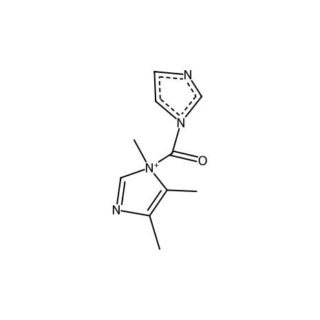 CC1=C(C)[N+](C)(C(=O)n2ccnc2)C=N1